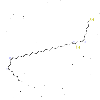 CCCCC/C=C\C/C=C\CCCCCCCCCCCCCCCCC/C=C(\S)C/C=C\CCCCCS